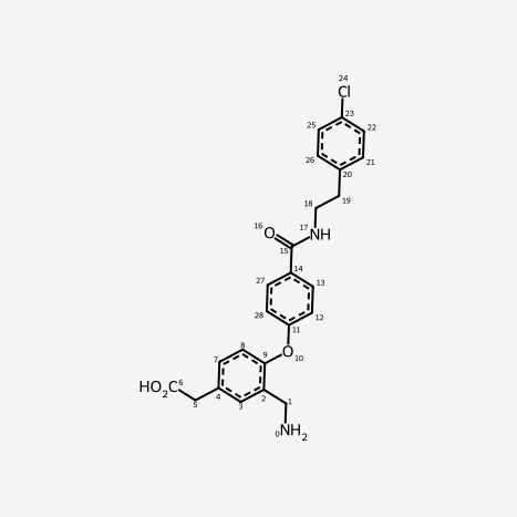 NCc1cc(CC(=O)O)ccc1Oc1ccc(C(=O)NCCc2ccc(Cl)cc2)cc1